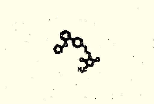 CC1CC(=O)N(CCCN2CCN(c3ccccc3OC3CCCC3)CC2)C1=O